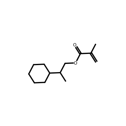 C=C(C)C(=O)OCC(C)C1CCCCC1